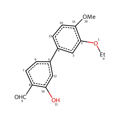 CCOc1cc(-c2ccc(C=O)c(O)c2)ccc1OC